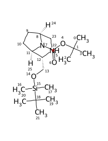 CC(C)(C)OC(=O)N1[C@H]2CC[C@@H]1[C@@H](CO[Si](C)(C)C(C)(C)C)NC2